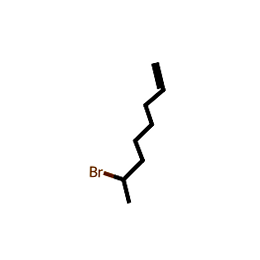 C=CCCCCC(C)Br